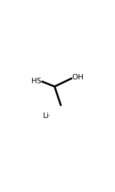 CC(O)S.[Li]